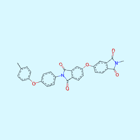 Cc1ccc(Oc2ccc(N3C(=O)c4ccc(Oc5ccc6c(c5)C(=O)N(C)C6=O)cc4C3=O)cc2)cc1